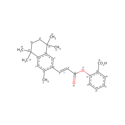 Cc1cc2c(cc1/C=C/C(=O)Oc1ccccc1C(=O)O)C(C)(C)CCC2(C)C